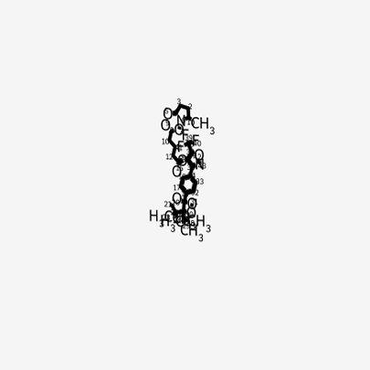 CC1CCC(=O)N1OC(=O)CCCC(=O)Oc1cc(C23OCC(C)(C)C2(C(C)(C)C)OO3)ccc1-c1cc(C(F)(F)F)on1